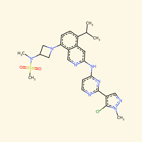 CC(C)c1ccc(N2CC(N(C)S(C)(=O)=O)C2)c2cnc(Nc3ccnc(-c4cnn(C)c4Cl)n3)cc12